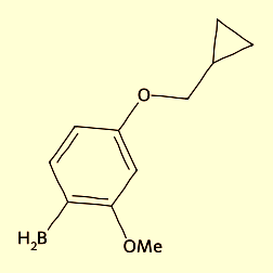 Bc1ccc(OCC2CC2)cc1OC